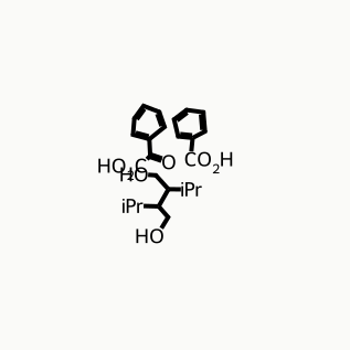 CC(C)C(CO)C(CO)C(C)C.O=C(O)C(=O)c1ccccc1.O=C(O)c1ccccc1